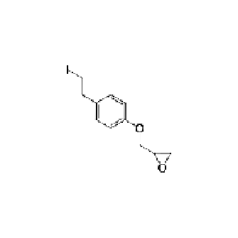 ICCc1ccc(OCC2CO2)cc1